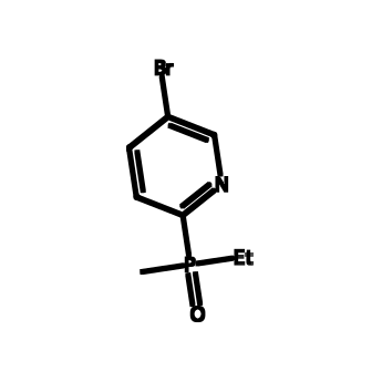 CCP(C)(=O)c1ccc(Br)cn1